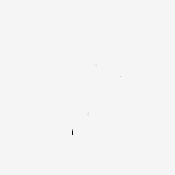 Cc1cc(C)n2ccc(C(=O)N[C@@H](C)c3ccccc3)c2n1